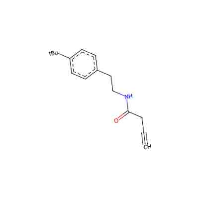 C#CCC(=O)NCCc1ccc(C(C)(C)C)cc1